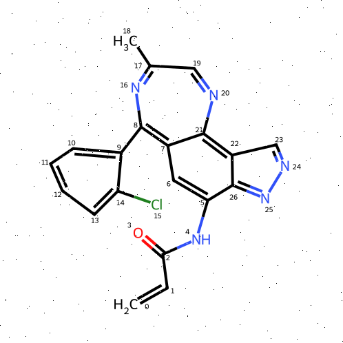 C=CC(=O)Nc1cc2c(-c3ccccc3Cl)nc(C)cnc2c2cnnc12